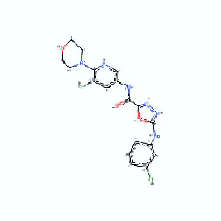 O=C(Nc1cnc(N2CCOCC2)c(Cl)c1)c1nnc(Nc2cccc(Cl)c2)o1